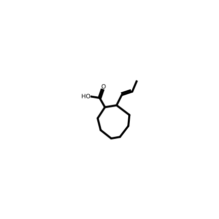 CC=CC1CCCCCCC1C(=O)O